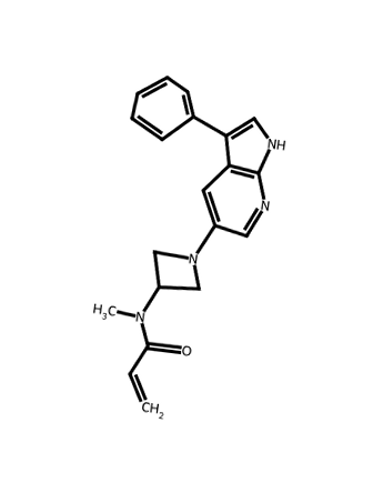 C=CC(=O)N(C)C1CN(c2cnc3[nH]cc(-c4ccccc4)c3c2)C1